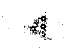 COC(=O)CNCc1cccc(Oc2cccc(Cn3cc(Cc4cc(N)nc5c4NNN5)cn3)c2)c1